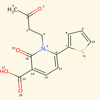 CC(=O)CCn1c(-c2cccs2)ccc(C(=O)O)c1=O